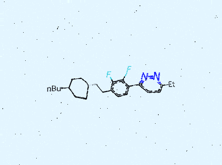 CCCC[C@H]1CC[C@H](CCc2ccc(-c3ccc(CC)nn3)c(F)c2F)CC1